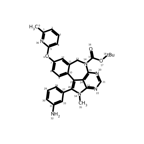 Cc1cccc(Oc2ccc3c(c2)CN(C(=O)OC(C)(C)C)c2ncnc4c2c-3c(-c2cccc(N)c2)n4C)n1